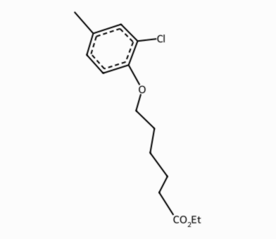 CCOC(=O)CCCCCOc1ccc(C)cc1Cl